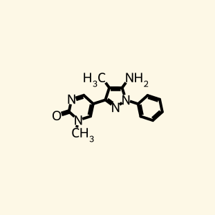 Cc1c(-c2cnc(=O)n(C)c2)nn(-c2ccccc2)c1N